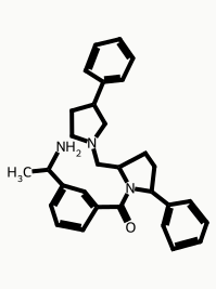 CC(N)c1cccc(C(=O)N2C(CN3CCC(c4ccccc4)C3)CCC2c2ccccc2)c1